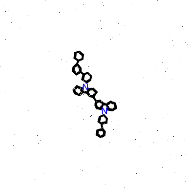 C1=CCC(c2cccc(C3=CC(n4c5ccccc5c5cc(-c6ccc7c(c6)c6ccccc6n7C6C=CC(c7ccccc7)=CC6)ccc54)=CCC3)c2)C=C1